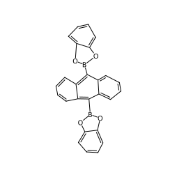 c1ccc2c(c1)OB(c1c3ccccc3c(B3Oc4ccccc4O3)c3ccccc13)O2